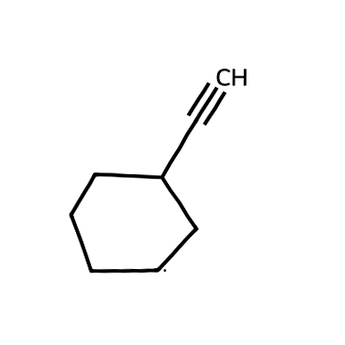 C#CC1C[CH]CCC1